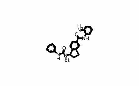 CCN(C(=O)Nc1ccccc1)C1CCc2cc(C(=O)Nc3ccccc3N)ccc21